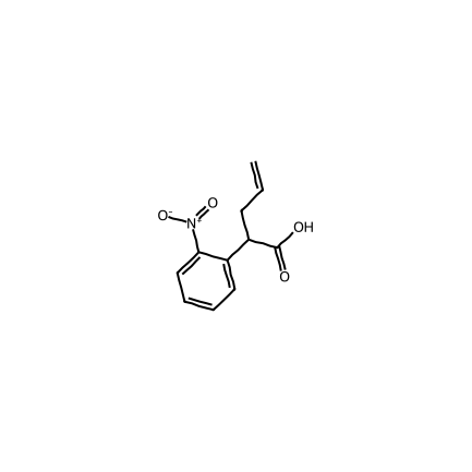 C=CCC(C(=O)O)c1ccccc1[N+](=O)[O-]